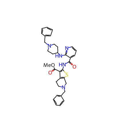 COC(=O)c1c(NC(=O)c2cccnc2NC2CCN(Cc3ccccc3)CC2)sc2c1CCN(Cc1ccccc1)C2